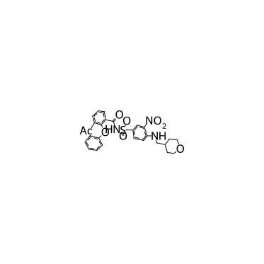 CC(=O)c1cccc(C(=O)NS(=O)(=O)c2ccc(NCC3CCOCC3)c([N+](=O)[O-])c2)c1Oc1ccccc1